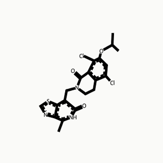 Cc1[nH]c(=O)c(CN2CCc3c(Cl)cc(OC(C)C)c(Cl)c3C2=O)c2scnc12